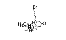 C[C@]12CC[C@@H]3[C@@H](CCC4=CC(=O)CC(CCCCCBr)[C@@]43C)[C@@H]1CCC2=O